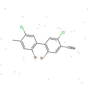 COc1cc(Br)c(-c2cc(Cl)c(C)cc2Br)cc1Cl